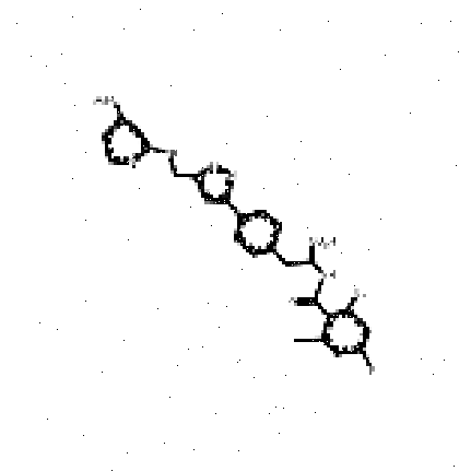 CCc1cc(F)cc(C)c1C(=O)NC(Cc1ccc(-c2cc(CNc3cc(OC)ccn3)on2)cc1)C(=O)O